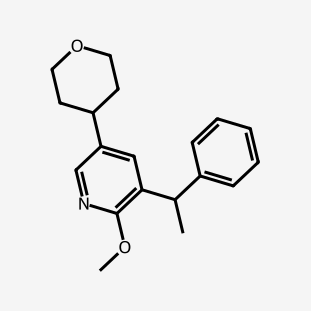 COc1ncc(C2CCOCC2)cc1C(C)c1ccccc1